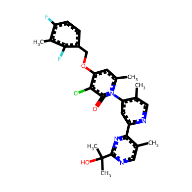 Cc1cnc(-c2nc(C(C)(C)O)ncc2C)cc1-n1c(C)cc(OCc2ccc(F)c(C)c2F)c(Cl)c1=O